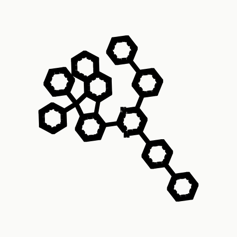 c1ccc(-c2ccc(-c3cc(-c4cccc(-c5ccccc5)c4)nc(-c4cccc5c4-c4ccc6ccccc6c4C5(c4ccccc4)c4ccccc4)n3)cc2)cc1